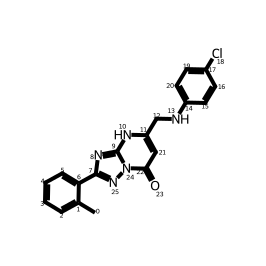 Cc1ccccc1-c1nc2[nH]c(CNc3ccc(Cl)cc3)cc(=O)n2n1